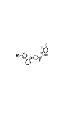 CNc1nccc(-c2cccnc2Oc2ccc(Nc3nc4c(F)c(F)ccc4[nH]3)cc2)n1